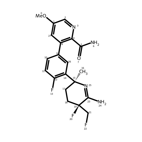 COc1cnc(C(N)=O)c(-c2ccc(F)c([C@]3(C)CC[C@@](F)(CF)C(N)=N3)c2)c1